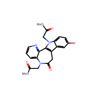 COC(=O)CN1C(=O)Cc2c(n(CC(=O)OC)c3ccc(Br)cc23)-c2ncccc21